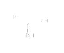 CNBr.[BiH3]